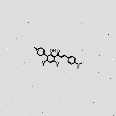 COc1cc(OC)c(C2=CCN(C)CC2)c(O)c1C(=O)/C=C/c1ccc(N(C)C)cc1